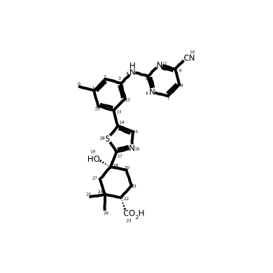 Cc1cc(Nc2nccc(C#N)n2)cc(-c2cnc([C@@]3(O)CC[C@H](C(=O)O)C(C)(C)C3)s2)c1